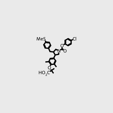 CSc1ccc(CC2CN(C(=O)Oc3ccc(Cl)cc3)CC2c2cc(C)c(OC(C)(C)C(=O)O)c(C)c2)cc1